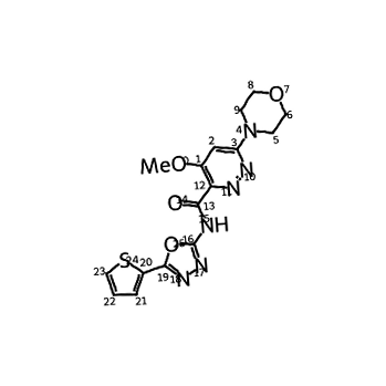 COc1cc(N2CCOCC2)nnc1C(=O)Nc1nnc(-c2cccs2)o1